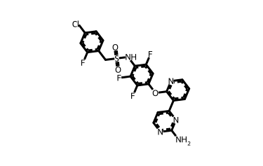 Nc1nccc(-c2cccnc2Oc2cc(F)c(NS(=O)(=O)Cc3ccc(Cl)cc3F)c(F)c2F)n1